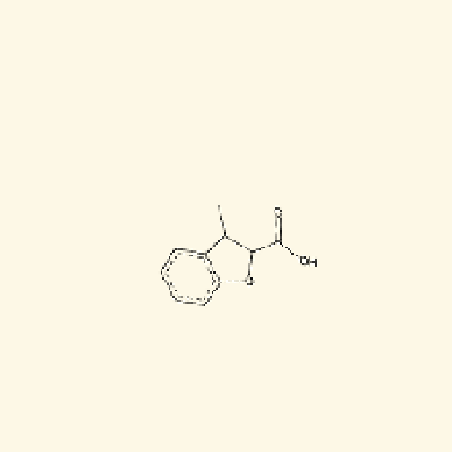 CC1c2ccccc2OC1C(=O)O